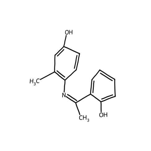 CC(=Nc1ccc(O)cc1C)c1ccccc1O